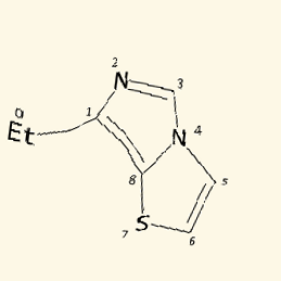 CCc1ncn2ccsc12